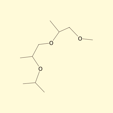 COCC(C)OCC(C)OC(C)C